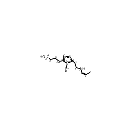 C/C=C\NCCc1nnc(SCCC(=O)O)n1CC